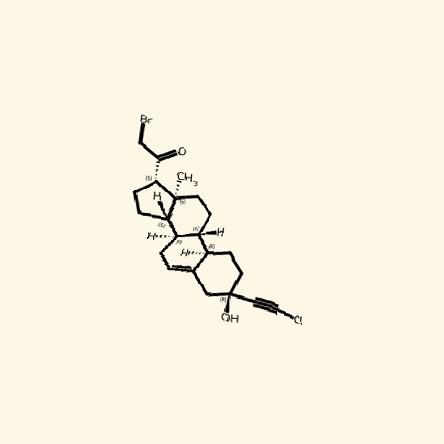 C[C@]12CC[C@H]3[C@@H](CC=C4C[C@@](O)(C#CCl)CC[C@@H]43)[C@@H]1CC[C@@H]2C(=O)CBr